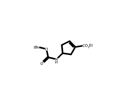 CCOC(=O)C1=CCC(NC(=O)OC(C)(C)C)C1